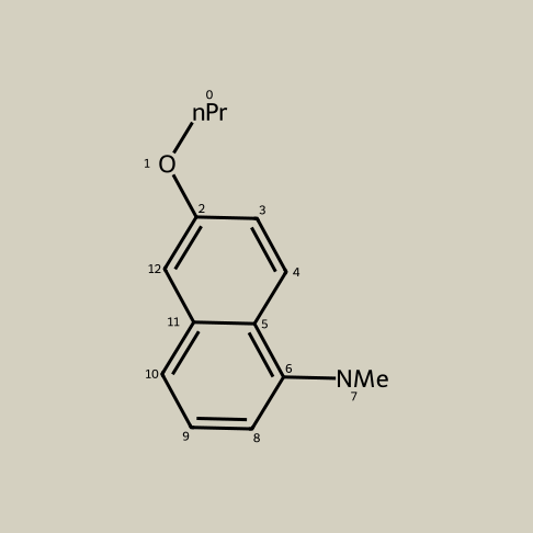 CCCOc1ccc2c(NC)cccc2c1